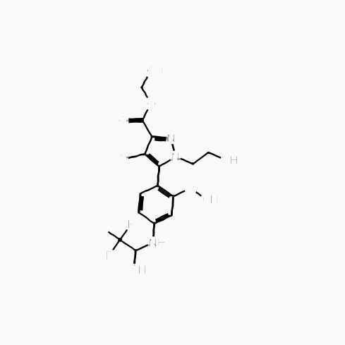 CCCn1nc(C(=O)OCC)c(Cl)c1-c1ccc(NC(C)C(F)(F)F)cc1OC